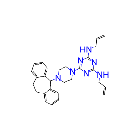 C=CCNc1nc(NCC=C)nc(N2CCN(C3c4ccccc4CCc4ccccc43)CC2)n1